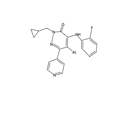 CC(=O)c1c(-c2ccncc2)nn(CC2CC2)c(=O)c1Nc1ccccc1F